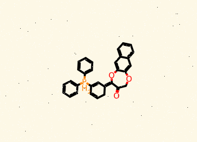 O=C1COc2cc3ccccc3cc2OC1=C1C=C([PH2](c2ccccc2)c2ccccc2)C=CC1